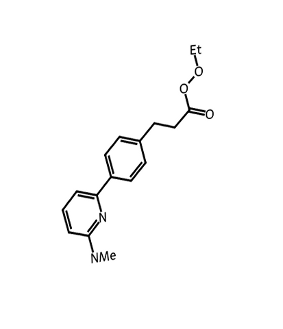 CCOOC(=O)CCc1ccc(-c2cccc(NC)n2)cc1